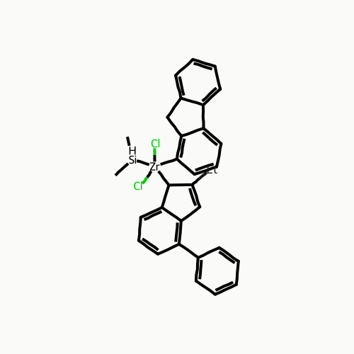 CCC1=Cc2c(-c3ccccc3)cccc2[CH]1[Zr]([Cl])([Cl])([c]1cccc2c1Cc1ccccc1-2)[SiH](C)C